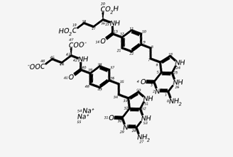 Nc1nc(=O)c2c(CCc3ccc(C(=O)N[C@@H](CCC(=O)O)C(=O)O)cc3)c[nH]c2[nH]1.Nc1nc(=O)c2c(CCc3ccc(C(=O)N[C@@H](CCC(=O)[O-])C(=O)[O-])cc3)c[nH]c2[nH]1.[Na+].[Na+]